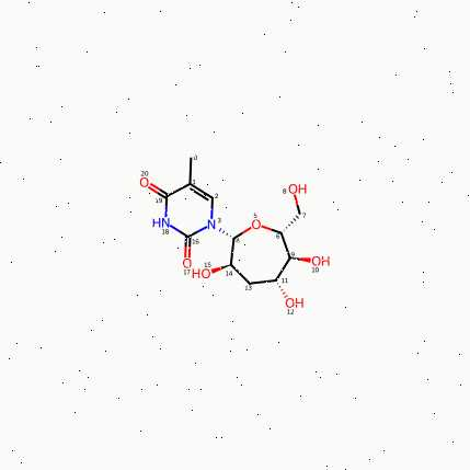 Cc1cn([C@@H]2O[C@H](CO)[C@@H](O)[C@H](O)C[C@H]2O)c(=O)[nH]c1=O